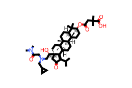 CC(C)C1=C2[C@H]3CC[C@@H]4[C@@]5(C)CC[C@H](OC(=O)CC(C)(C)C(=O)O)C(C)(C)[C@@H]5CC[C@@]4(C)[C@]3(C)CC[C@@]2([C@@H](O)CN(CC(=O)N(C)C)CC2CC2)CC1=O